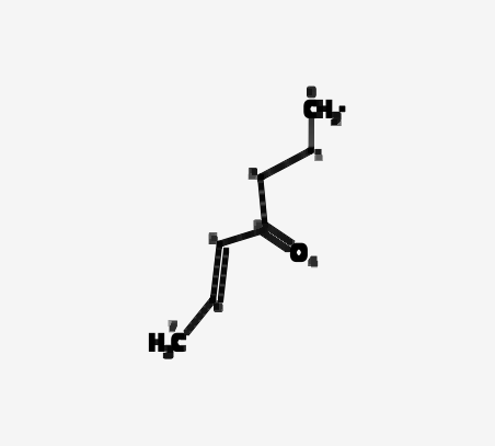 [CH2]CCC(=O)C=CC